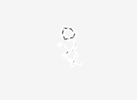 CC(C)(C)CC(Cc1ccccc1)C(=O)Cl